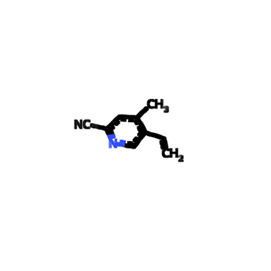 C=Cc1cnc(C#N)cc1C